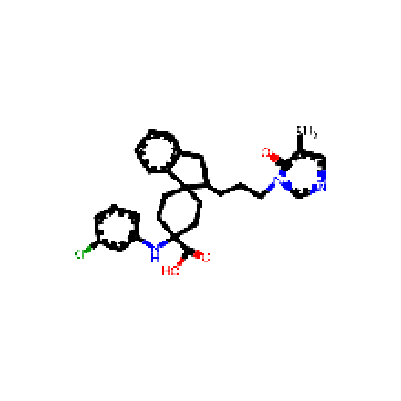 Cc1cncn(CCCC2Cc3ccccc3C23CCC(Nc2cccc(Cl)c2)(C(=O)O)CC3)c1=O